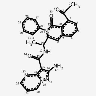 CC(=O)c1cccc2cc([C@H](C)NC(=O)c3c(N)nn4cccnc34)n(-c3ccccc3)c(=O)c12